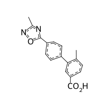 Cc1noc(-c2ccc(-c3cc(C(=O)O)ccc3C)cc2)n1